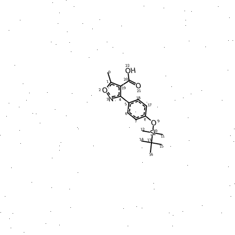 Cc1onc(-c2ccc(O[Si](C)(C)C(C)(C)C)cc2)c1C(=O)O